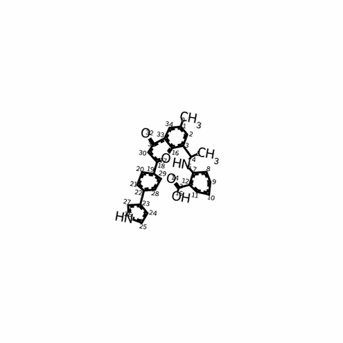 Cc1cc(C(C)Nc2ccccc2C(=O)O)c2oc(-c3ccc(-c4cc[nH]c4)cc3)cc(=O)c2c1